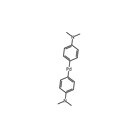 CN(C)c1cc[c]([Pd][c]2ccc(N(C)C)cc2)cc1